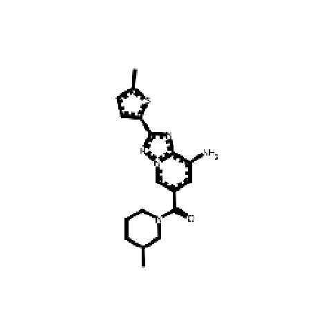 Cc1ccc(-c2nc3c(N)cc(C(=O)N4CCCC(C)C4)cn3n2)s1